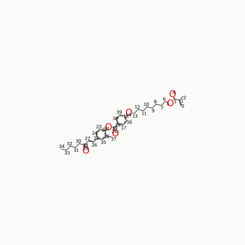 C=C(C)C(=O)OCCCCCCCCOc1ccc(C(=O)Oc2ccc(/C=C/C(=O)CCCCC)cc2C)cc1